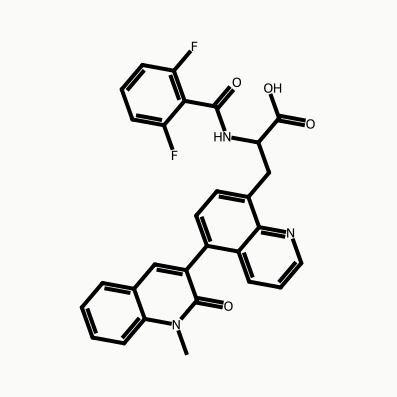 Cn1c(=O)c(-c2ccc(CC(NC(=O)c3c(F)cccc3F)C(=O)O)c3ncccc23)cc2ccccc21